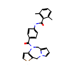 Cc1cccc(C)c1C(=O)Nc1ccc(C(=O)N2Cc3cccn3Cc3sccc32)cc1